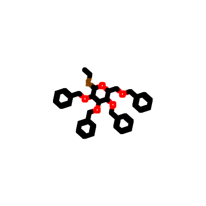 CCSC1OC(COCc2ccccc2)C(OCc2ccccc2)C(OCc2ccccc2)C1OCc1ccccc1